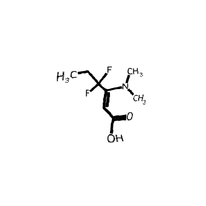 CCC(F)(F)C(=CC(=O)O)N(C)C